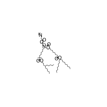 CCCCCCCCC(CCCCCCCC)OC(=O)CCCCCCCOC(=O)C1CC(OC(=O)CCN2CCC2)CN1CCCCCCC(C)(C)C(=O)OCCCC(CCCCC)CCCCC